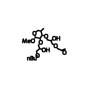 CCCCOCC(O)COC1[C@H](OC)OCC(C)[C@H]1OCC(O)COCC1CO1